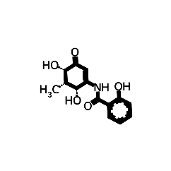 C[C@@H]1[C@H](O)C(=O)C=C(NC(=O)c2ccccc2O)[C@@H]1O